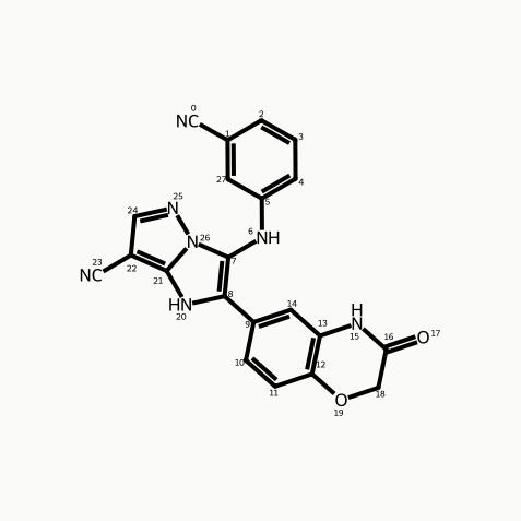 N#Cc1cccc(Nc2c(-c3ccc4c(c3)NC(=O)CO4)[nH]c3c(C#N)cnn23)c1